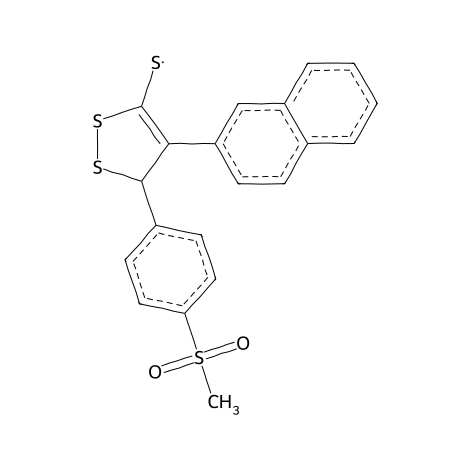 CS(=O)(=O)c1ccc(C2SSC([S])=C2c2ccc3ccccc3c2)cc1